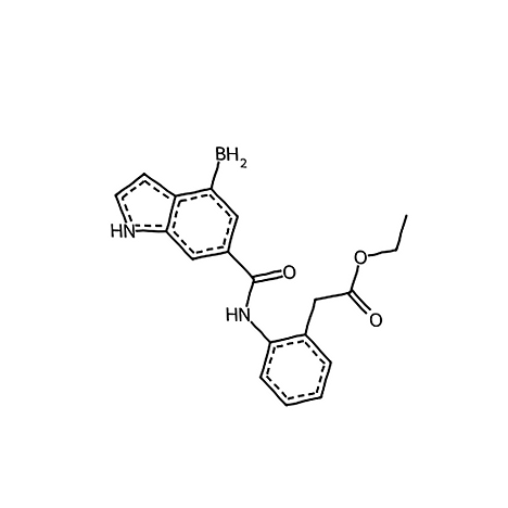 Bc1cc(C(=O)Nc2ccccc2CC(=O)OCC)cc2[nH]ccc12